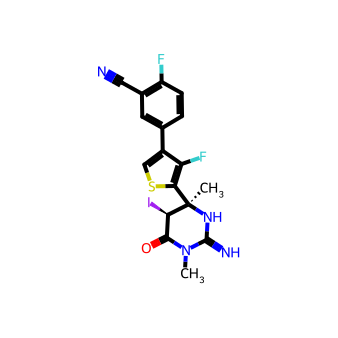 CN1C(=N)N[C@](C)(c2scc(-c3ccc(F)c(C#N)c3)c2F)[C@H](I)C1=O